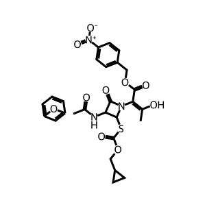 CC(=O)NC1C(=O)N(C(C(=O)OCc2ccc([N+](=O)[O-])cc2)=C(C)O)C1SC(=O)OCC1CC1.c1cc2cc(c1)O2